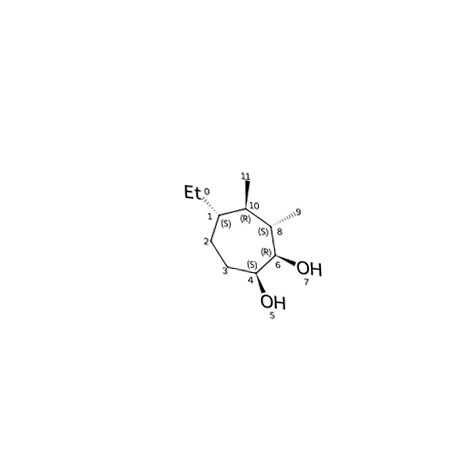 CC[C@H]1CC[C@H](O)[C@H](O)[C@@H](C)[C@@H]1C